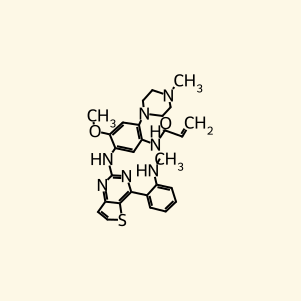 C=CC(=O)Nc1cc(Nc2nc(-c3ccccc3NC)c3sccc3n2)c(OC)cc1N1CCN(C)CC1